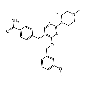 COc1cccc(COc2nc(N3CCN(C)C[C@H]3C)ncc2Sc2ccc(C(N)=O)cc2)c1